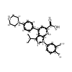 CC(C)c1nn(-c2ccc(F)c(F)c2)c2nc(C(=O)O)cc(-c3ccc(N4CCOCC4)cc3)c12